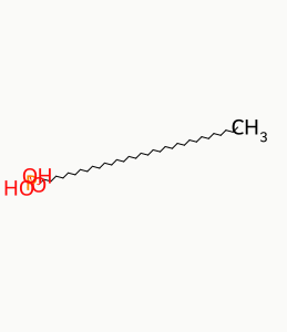 CCCCCCCCCCCCCCCCCCCCCCCCCCCCCCCCCOP(O)O